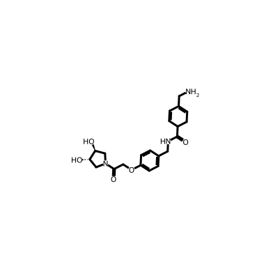 NCC1=CCC(C(=O)NCc2ccc(OCC(=O)N3C[C@H](O)[C@@H](O)C3)cc2)C=C1